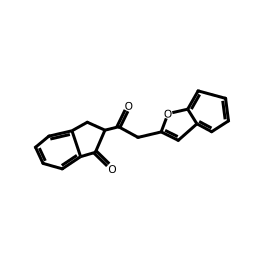 O=C(Cc1cc2ccccc2o1)C1Cc2ccccc2C1=O